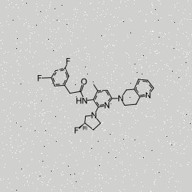 Cc1cc(N2CCc3ncccc3C2)nc(N2CC[C@@H](F)C2)c1NC(=O)Cc1cc(F)cc(F)c1